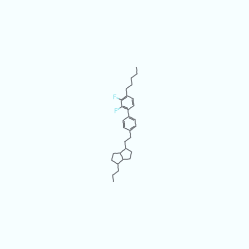 CCCCCc1ccc(-c2ccc(CCC3CCC4C(CCC)CCC34)cc2)c(F)c1F